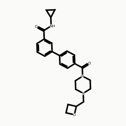 O=C(NC1CC1)c1cccc(-c2ccc(C(=O)N3CCN(CC4CCO4)CC3)cc2)c1